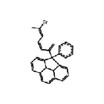 C=C(/C=C\C=C(/C)Br)C1(c2ccccc2)C2=CC=CC3=CC=C4C=CC=C1C4C32